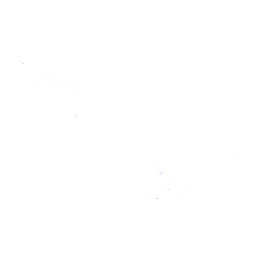 CC(=O)O[C@@H]1C[C@@H](C(=O)NCc2ccc(-c3scnc3C)cc2)N(C(=O)[C@@H](NC(=O)COCCCCOc2ccc(-c3ccc(N4C(=S)N(c5ccc(C#N)c(C(F)(F)F)c5F)C(=O)C4(C)C)cn3)cc2)C(C)(C)C)C1